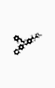 O=C(Nc1nn[nH]n1)c1ccc(CN(C(=O)/C=C/c2ccccc2Cl)c2ccc(N3CCCCC3)cc2)cc1